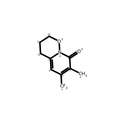 Cc1c(C(F)(F)F)cc2n(c1=O)OCCC2